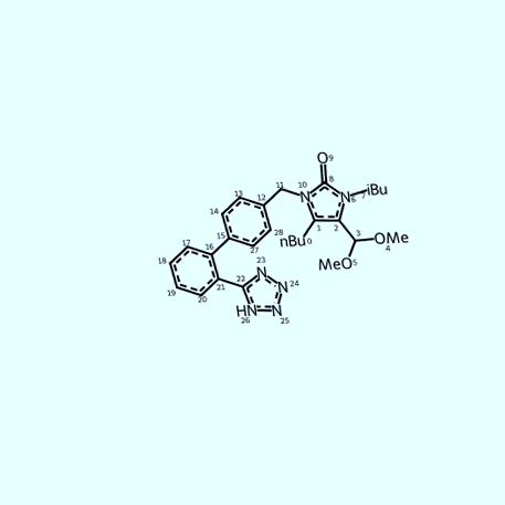 CCCCc1c(C(OC)OC)n(C(C)CC)c(=O)n1Cc1ccc(-c2ccccc2-c2nnn[nH]2)cc1